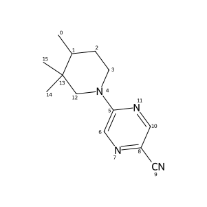 CC1CCN(c2cnc(C#N)cn2)CC1(C)C